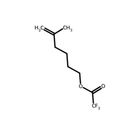 C=C(C)CCCCOC(=O)C(F)(F)F